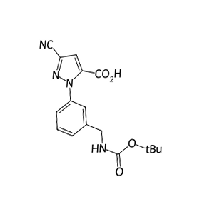 CC(C)(C)OC(=O)NCc1cccc(-n2nc(C#N)cc2C(=O)O)c1